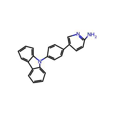 Nc1ccc(-c2ccc(-n3c4ccccc4c4ccccc43)cc2)cn1